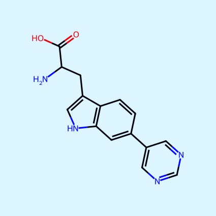 NC(Cc1c[nH]c2cc(-c3cncnc3)ccc12)C(=O)O